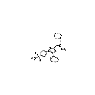 CN(Cc1ccccc1)Cc1cc(-c2ccccc2)n(-c2ccc(S(N)(=O)=O)cc2)n1